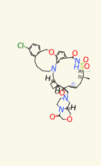 CO[C@@]1(CN2CCN3C(=O)COC[C@@H]3C2)/C=C/C[C@H](C)[C@@H](C)S(=O)(=O)NC(=O)c2ccc3c(c2)N(CCCCc2cc(Cl)ccc2CO3)C[C@@H]2CC[C@H]21